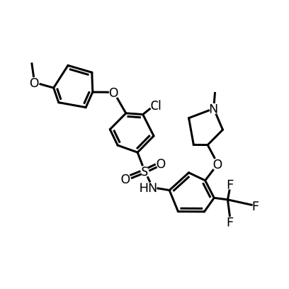 COc1ccc(Oc2ccc(S(=O)(=O)Nc3ccc(C(F)(F)F)c(OC4CCN(C)C4)c3)cc2Cl)cc1